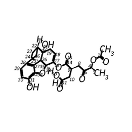 CC(=O)O[C@@H](C)C(=O)C[C@@H](CC(=O)O)C(=O)OC1=CC[C@]2(O)[C@H]3CCC[C@]24c2c(ccc(O)c2O[C@H]14)C3